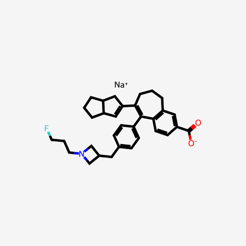 O=C([O-])c1ccc2c(c1)CCCC(C1=CC3CCCC3C1)=C2c1ccc(CC2CN(CCCF)C2)cc1.[Na+]